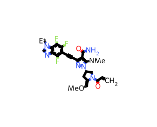 C=CC(=O)N1C[C@@H](n2nc(C#Cc3c(F)c(F)c4c(ncn4CC)c3F)c(C(N)=O)c2NC)C/C1=C\OC